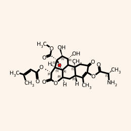 COC(=O)[C@@]12OC[C@]34C([C@@H](O)[C@@H]1O)[C@@]1(C)CC(=O)C(OC(=O)[C@H](C)N)=C(C)[C@@H]1C[C@H]3OC(=O)[C@H](OC(=O)C=C(C)C)[C@@H]24